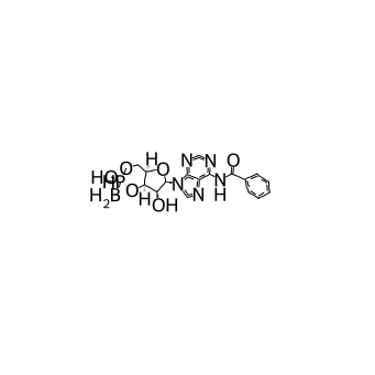 B[PH]1(O)OC[C@H]2O[C@@H](n3cnc4c(NC(=O)c5ccccc5)ncnc43)[C@@H](O)[C@H]2O1